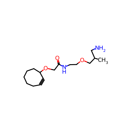 CC(CN)COCCNC(=O)COC1C#CCCCCC1